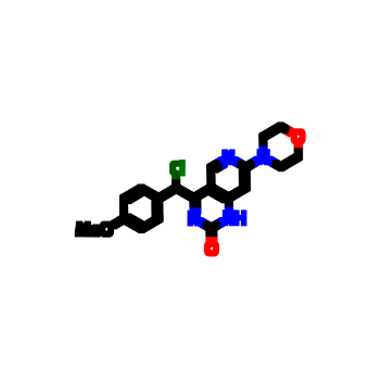 COc1ccc(C(Cl)c2nc(=O)[nH]c3cc(N4CCOCC4)ncc23)cc1